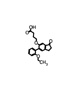 CCOc1ccccc1-c1cc2c(cc1OCCCC(=O)O)C(=O)CC2